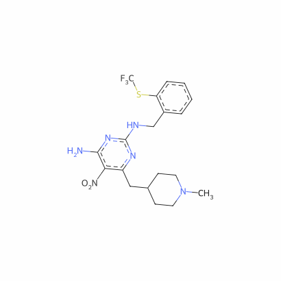 CN1CCC(Cc2nc(NCc3ccccc3SC(F)(F)F)nc(N)c2[N+](=O)[O-])CC1